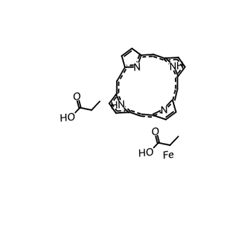 C1=Cc2cc3ccc(cc4nc(cc5ccc(cc1n2)[nH]5)C=C4)[nH]3.CCC(=O)O.CCC(=O)O.[Fe]